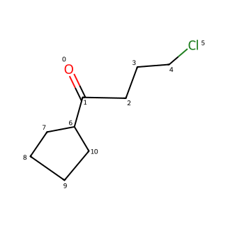 O=C(CCCCl)C1CCCC1